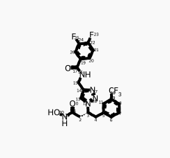 O=C(C[C@@H](Cc1cccc(C(F)(F)F)c1)n1cc(CNC(=O)c2ccc(F)c(F)c2)nn1)NO